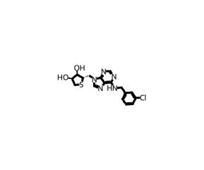 O[C@@H]1[C@H](O)CS[C@H]1Cn1cnc2c(NCc3cccc(Cl)c3)ncnc21